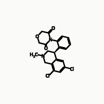 CN1Cc2c(Cl)cc(Cl)cc2[C@H](c2ccccc2N2C(=O)COCC2=O)C1